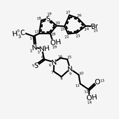 CC(=NNC(=S)N1CCN(CCC(=O)O)CC1)c1csc(-c2ccc(Br)cc2)c1O